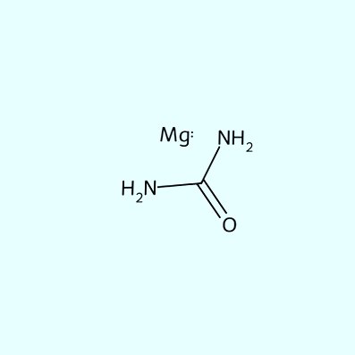 NC(N)=O.[Mg]